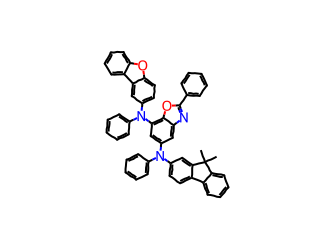 CC1(C)c2ccccc2-c2ccc(N(c3ccccc3)c3cc(N(c4ccccc4)c4ccc5oc6ccccc6c5c4)c4oc(-c5ccccc5)nc4c3)cc21